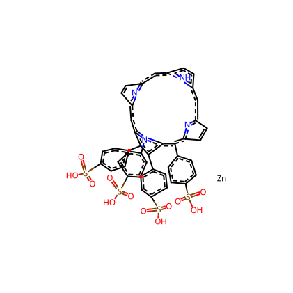 O=S(=O)(O)c1ccc(-c2c(-c3ccc(S(=O)(=O)O)cc3)c3c(-c4ccc(S(=O)(=O)O)cc4)c4nc(cc5ccc(cc6nc(cc2n3-c2ccc(S(=O)(=O)O)cc2)C=C6)[nH]5)C=C4)cc1.[Zn]